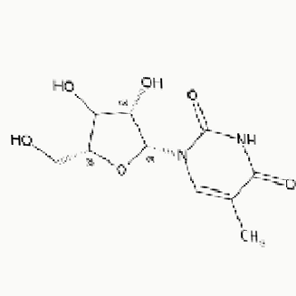 Cc1cn([C@@H]2O[C@H](CO)C(O)[C@@H]2O)c(=O)[nH]c1=O